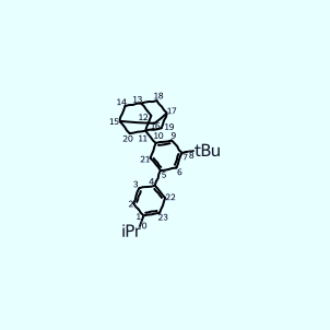 CC(C)c1ccc(-c2cc(C(C)(C)C)cc(C34CC5CC(CC(C5)C3)C4)c2)cc1